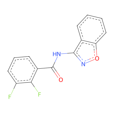 O=C(Nc1noc2ccccc12)c1cccc(F)c1F